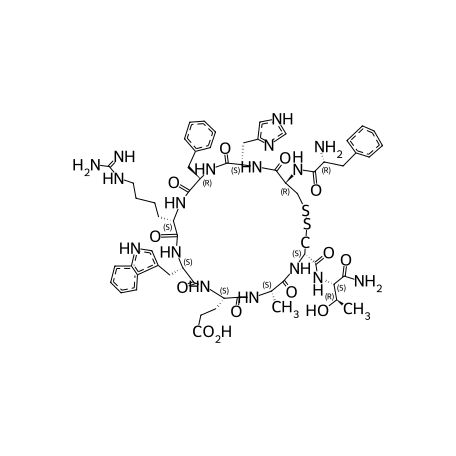 C[C@@H]1NC(=O)[C@H](CCC(=O)O)NC(=O)[C@H](Cc2c[nH]c3ccccc23)NC(=O)[C@H](CCCCNC(=N)N)NC(=O)[C@@H](Cc2ccccc2)NC(=O)[C@H](Cc2c[nH]cn2)NC(=O)[C@@H](NC(=O)[C@H](N)Cc2ccccc2)CSSC[C@H](C(=O)N[C@H](C(N)=O)[C@@H](C)O)NC1=O